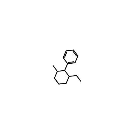 CCC1CCCC(C)C1c1cc[c]cc1